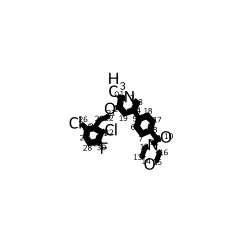 Cc1ncc(-c2ccc(C(=O)N3CCOCC3)cc2)cc1OCCc1c(Cl)ccc(F)c1Cl